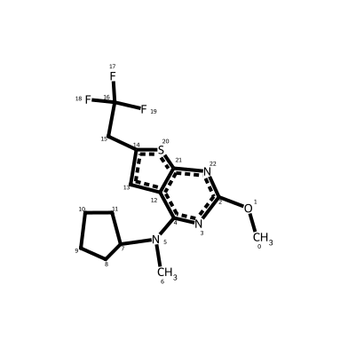 COc1nc(N(C)C2CCCC2)c2cc(CC(F)(F)F)sc2n1